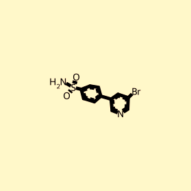 NS(=O)(=O)c1ccc(-c2cncc(Br)c2)cc1